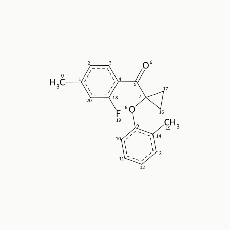 Cc1ccc(C(=O)C2(Oc3ccccc3C)CC2)c(F)c1